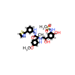 COc1ccc(C(C)(NCC(O)c2ccc(O)c(NS(C)(=O)=O)c2)C(=O)Nc2cccc(-c3nccs3)c2)cc1